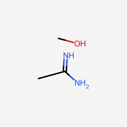 CC(=N)N.CO